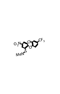 CNSc1cc([N+](=O)[O-])ccc1Oc1ccc(C(F)(F)F)cc1Cl